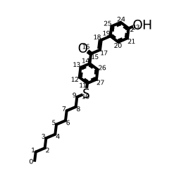 CCCCCCCCCCSc1ccc(C(=O)C=Cc2ccc(O)cc2)cc1